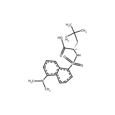 CN(C)c1cccc2c(S(=O)(=O)N[C@@H](CC(C)(C)C)C(=O)O)cccc12